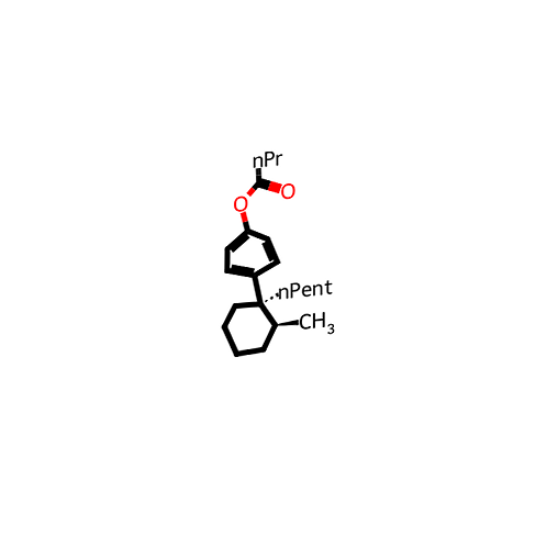 CCCCC[C@@]1(c2ccc(OC(=O)CCC)cc2)CCCC[C@@H]1C